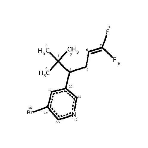 CC(C)(C)C(CC=C(F)F)c1cncc(Br)c1